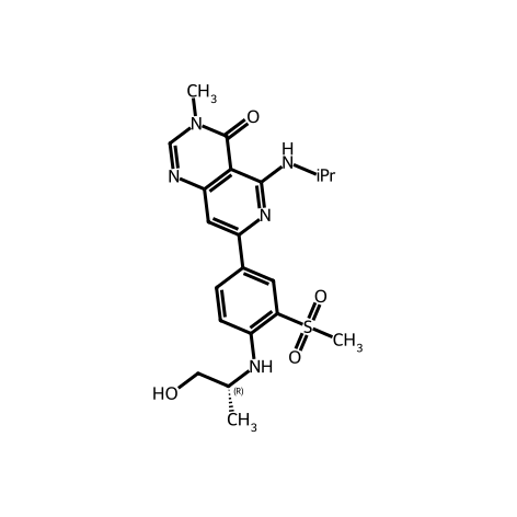 CC(C)Nc1nc(-c2ccc(N[C@H](C)CO)c(S(C)(=O)=O)c2)cc2ncn(C)c(=O)c12